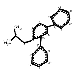 C[C](C)Cc1ccc(-c2ccccc2)cc1-c1ccccc1